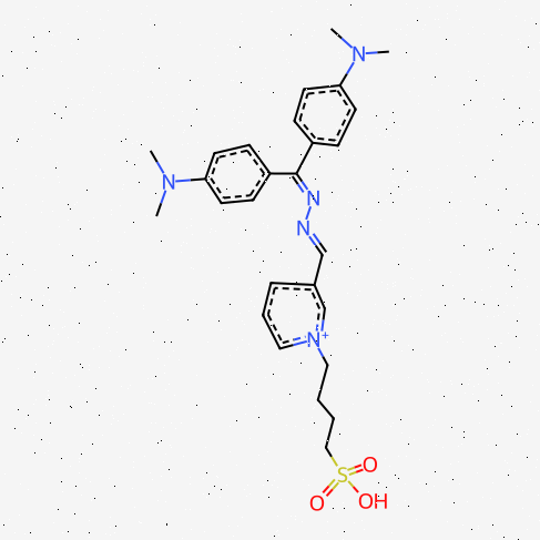 CN(C)c1ccc(C(=NN=Cc2ccc[n+](CCCCS(=O)(=O)O)c2)c2ccc(N(C)C)cc2)cc1